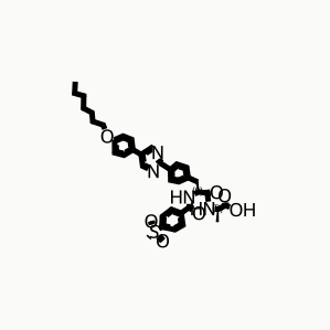 CCCCCCCOc1ccc(-c2cnc(-c3ccc(C[C@H](NC(=O)c4ccc(S(C)(=O)=O)cc4)C(=O)N[C@H](C)C(=O)O)cc3)nc2)cc1